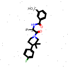 CC(C)[C@@H](NC(=O)c1cccc(C(=O)O)c1)C(=O)N1CCC(c2ccc(F)cc2)C(C)(C)C1